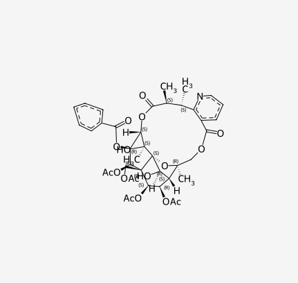 CC(=O)OC[C@]12[C@H](OC(C)=O)[C@H](OC(C)=O)[C@@H]3[C@@H](O)[C@@]14O[C@@]3(C)COC(=O)c1cccnc1[C@@H](C)[C@H](C)C(=O)O[C@@H]([C@H](OC(=O)c1ccccc1)[C@@H]2OC(C)=O)[C@]4(C)O